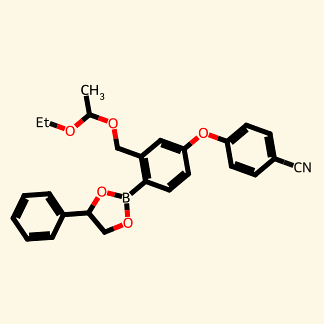 CCOC(C)OCc1cc(Oc2ccc(C#N)cc2)ccc1B1OCC(c2ccccc2)O1